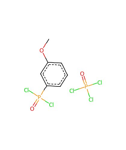 COc1cccc(P(=O)(Cl)Cl)c1.O=P(Cl)(Cl)Cl